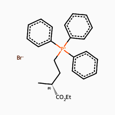 CCOC(=O)[C@H](C)CC[P+](c1ccccc1)(c1ccccc1)c1ccccc1.[Br-]